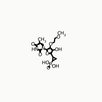 COCCOc1c(-n2cc(C)c(=O)[nH]c2=O)oc(C2CC2P(=O)(O)O)c1O